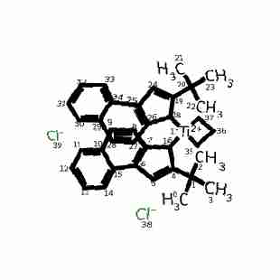 CC(C)(C)C1=Cc2c(ccc3ccccc23)[CH]1[Ti+2]1([CH]2C(C(C)(C)C)=Cc3c2ccc2ccccc32)[CH2]C[CH2]1.[Cl-].[Cl-]